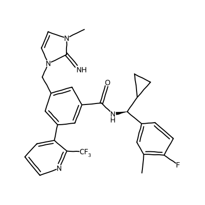 Cc1cc([C@@H](NC(=O)c2cc(Cn3ccn(C)c3=N)cc(-c3cccnc3C(F)(F)F)c2)C2CC2)ccc1F